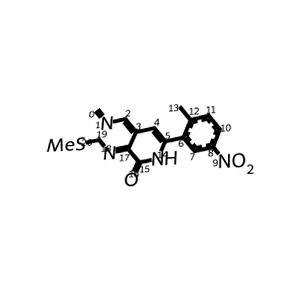 C=N/C=C1/C=C(c2cc([N+](=O)[O-])ccc2C)NC(=O)/C1=N/CSC